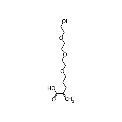 C=C(CCCOCCOCCOCCO)C(=O)O